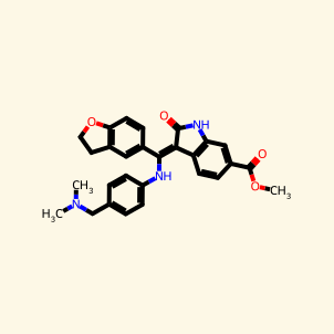 COC(=O)c1ccc2c(c1)NC(=O)C2=C(Nc1ccc(CN(C)C)cc1)c1ccc2c(c1)CCO2